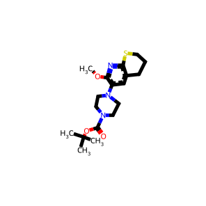 COc1nc2c(cc1N1CCN(C(=O)OC(C)(C)C)CC1)CCCS2